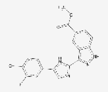 COC(=O)c1ccc2[nH]nc(-c3ncc(-c4ccc(Cl)c(F)c4)[nH]3)c2c1